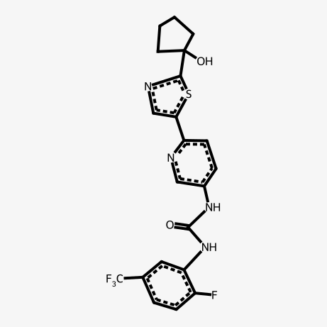 O=C(Nc1ccc(-c2cnc(C3(O)CCCC3)s2)nc1)Nc1cc(C(F)(F)F)ccc1F